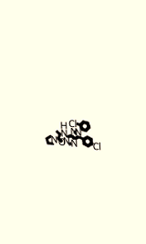 CC(Nc1ncnc2c(-c3ccc(Cl)cc3)n(-c3ccccc3Cl)nc12)C(=O)N1CCCC1